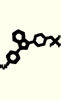 Nc1ccc(-n2cc(C3CCN(CC(F)(F)F)CC3)c3ccccc32)cc1